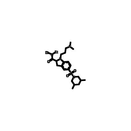 CCN(CC)C(=O)C1Cc2cc(S(=O)(=O)N3CC(C)CC(C)C3)ccc2N1CCCN(C)C